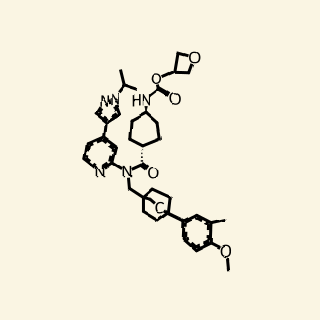 COc1ccc(C23CCC(CN(c4cc(-c5cnn(C(C)C)c5)ccn4)C(=O)[C@H]4CC[C@H](NC(=O)OC5COC5)CC4)(CC2)CC3)cc1C